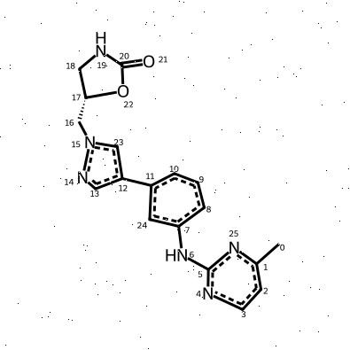 Cc1ccnc(Nc2cccc(-c3cnn(C[C@@H]4CNC(=O)O4)c3)c2)n1